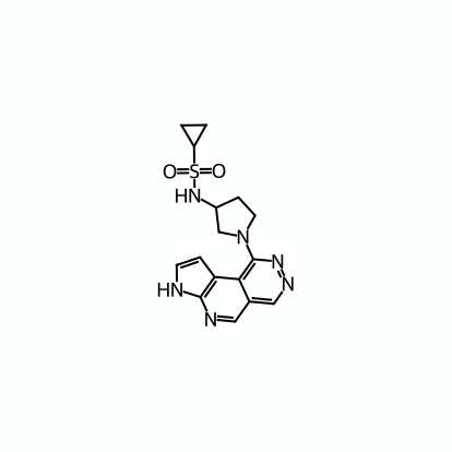 O=S(=O)(NC1CCN(c2nncc3cnc4[nH]ccc4c23)C1)C1CC1